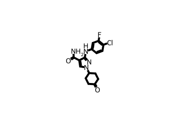 NC(=O)c1cn(C2CCC(=O)CC2)nc1Nc1ccc(Cl)c(F)c1